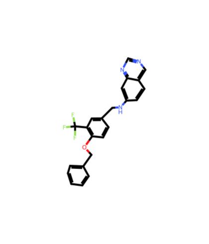 FC(F)(F)c1cc(CNc2ccc3cncnc3c2)ccc1OCc1ccccc1